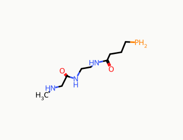 CNCC(=O)NCCNC(=O)CCCP